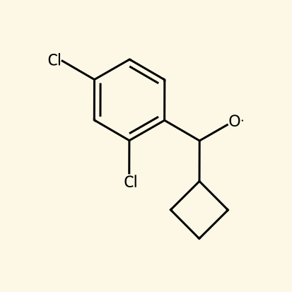 [O]C(c1ccc(Cl)cc1Cl)C1CCC1